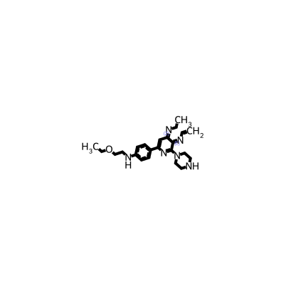 C=C/N=C1/C(N2CCNCC2)=NC(c2ccc(NCCOCC)cc2)=C/C1=N/CC